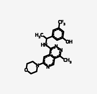 Cc1nnc(NC(C)c2cc(O)cc(C(F)(F)F)c2)c2cc(N3CCOCC3)ncc12